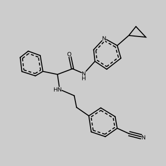 N#Cc1ccc(CCNC(C(=O)Nc2ccc(C3CC3)nc2)c2ccccc2)cc1